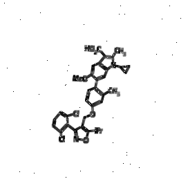 COc1cc2c(C(=O)O)c(C)n(C3CC3)c2cc1-c1ccc(OCc2c(-c3c(Cl)cccc3Cl)noc2C(C)C)cc1C